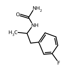 CC(Cc1cccc(F)c1)NC(N)=O